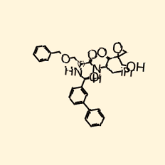 CC(C)CC(NC(=O)[C@H](COCc1ccccc1)NC(=O)c1cccc(-c2ccccc2)c1)C(=O)C1(CO)CO1